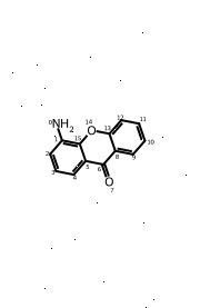 Nc1cccc2c(=O)c3ccccc3oc12